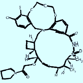 C[C@@H]1[C@@H](C)S(=O)(=O)NC(=O)c2ccc3c(c2)N(Cc2ccc(Cl)c(F)c2CCCCO3)C[C@@H]2CC[C@H]2[C@@H](OCC(=O)N2CCCC2)C2=C[C@H]1C2